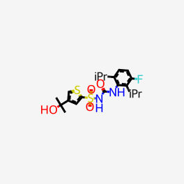 CC(C)c1ccc(F)c(C(C)C)c1NC(=O)NS(=O)(=O)c1cc(C(C)(C)O)cs1